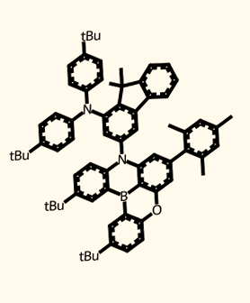 Cc1cc(C)c(-c2cc3c4c(c2)N(c2cc5c(c(N(c6ccc(C(C)(C)C)cc6)c6ccc(C(C)(C)C)cc6)c2)C(C)(C)c2ccccc2-5)c2ccc(C(C)(C)C)cc2B4c2cc(C(C)(C)C)ccc2O3)c(C)c1